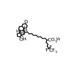 C[C@]12CCC(=O)CC1CC[C@@H]1[C@H]2C(CCCCCCCCCC(CCCC(F)(F)C(F)(F)F)C(=O)O)C[C@]2(C)C(O)CC[C@@H]12